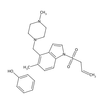 C=CCS(=O)(=O)n1ccc2c(CN3CCN(C)CC3)c(C)ccc21.Oc1ccccc1